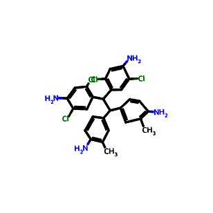 Cc1cc(C(c2ccc(N)c(C)c2)C(c2cc(Cl)c(N)cc2Cl)c2cc(Cl)c(N)cc2Cl)ccc1N